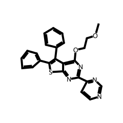 COCCOc1nc(-c2ccncn2)nc2sc(-c3ccccc3)c(-c3ccccc3)c12